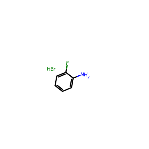 Br.Nc1ccccc1F